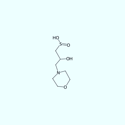 O=S(O)CC(O)CN1CCOCC1